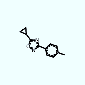 Cc1ccc(-c2noc(C3CC3)n2)cc1